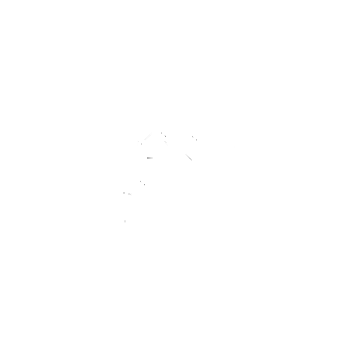 CC1NC(c2ncnc3c2CCN(C(=O)OC(C)(C)C)C3)=CS1